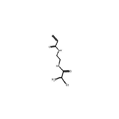 C=CC(=O)NCCNC(=O)C(N)CC